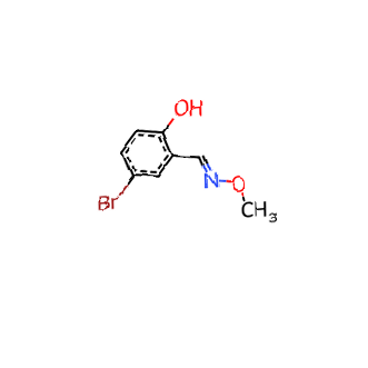 CON=Cc1cc(Br)ccc1O